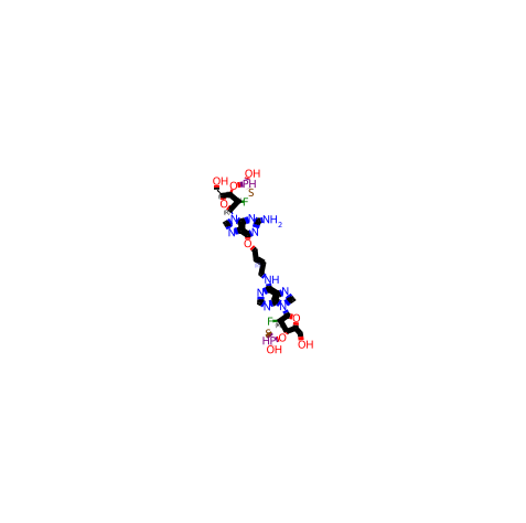 Nc1nc(OC/C=C/CNc2ncnc3c2ncn3C2OC(CO)C(O[PH](O)=S)[C@H]2F)c2ncn([C@@H]3O[C@H](CO)[C@@H](O[PH](O)=S)[C@H]3F)c2n1